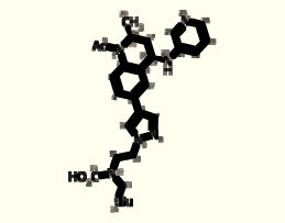 CC(=O)N1c2ccc(-c3cnn(CCN(CC(C)(C)C)C(=O)O)c3)cc2[C@H](Nc2cccnc2)C[C@@H]1C